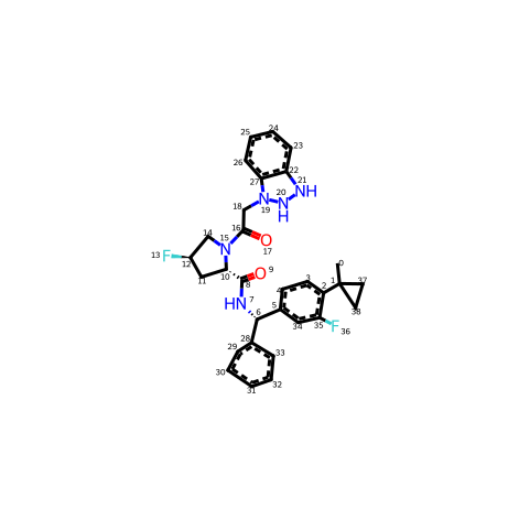 CC1(c2ccc([C@@H](NC(=O)[C@@H]3C[C@@H](F)CN3C(=O)CN3NNc4ccccc43)c3ccccc3)cc2F)CC1